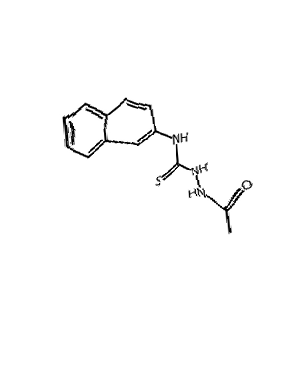 CC(=O)NNC(=S)Nc1ccc2ccccc2c1